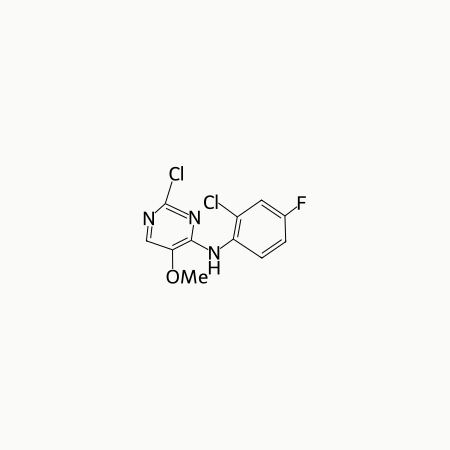 COc1cnc(Cl)nc1Nc1ccc(F)cc1Cl